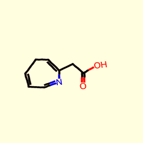 O=C(O)CC1=CCC=CC=N1